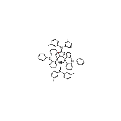 Cc1cccc(N(c2cccc(C)c2)c2cc3c(s2)C2(c4ccccc4N(c4ccccc4)c4ccccc42)c2cc(N(c4cccc(C)c4)c4cccc(C)c4)sc2C32c3ccccc3N(c3ccccc3)c3ccccc32)c1